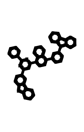 c1ccc(-c2nc(-c3ccc4sc5ccccc5c4c3)cc(-c3ccc(-c4cccc(-n5c6ccccc6c6ccccc65)c4)c4ccccc34)n2)cc1